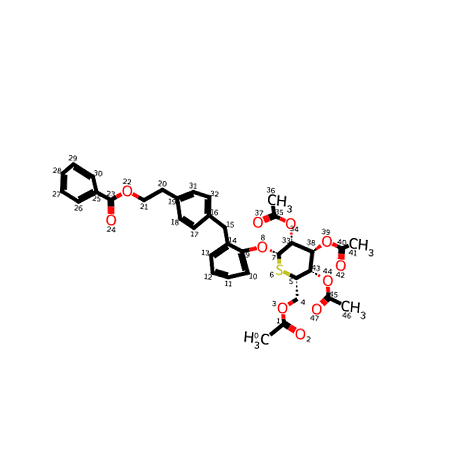 CC(=O)OC[C@@H]1S[C@H](Oc2ccccc2Cc2ccc(CCOC(=O)c3ccccc3)cc2)[C@H](OC(C)=O)[C@@H](OC(C)=O)[C@@H]1OC(C)=O